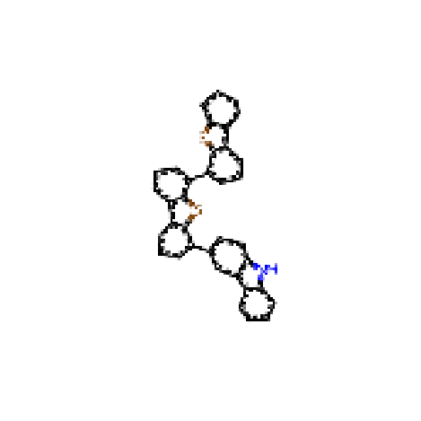 c1ccc2c(c1)[nH]c1ccc(-c3cccc4c3sc3c(-c5cccc6c5sc5ccccc56)cccc34)cc12